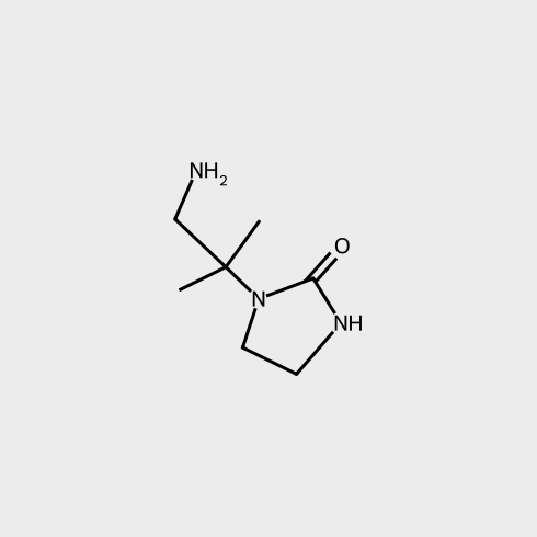 CC(C)(CN)N1CCNC1=O